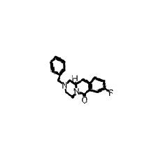 O=C1c2cc(F)ccc2C[C@@H]2CN(Cc3ccccc3)CCN12